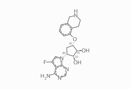 Nc1ncnc2c1c(F)cn2[C@@H]1C[C@H](Oc2cccc3c2CCNC3)[C@@H](O)[C@H]1O